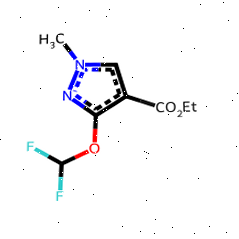 CCOC(=O)c1cn(C)nc1OC(F)F